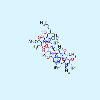 C/C=C/C[C@@H](C)[C@@H](O)[C@@H](C(=O)N[C@H](C(=O)OC)[C@@H](C)O)N(C)C(=O)[C@H](C(C)C)N(C)C(=O)[C@H](CC(C)C)NC(=O)[C@H](CC(C)C)N(C)C(=O)[C@@H](C)NC(=O)[C@H](C)NC(=O)[C@H](CC(C)C)N(C)C(=O)[C@@H](N)CC(C)C